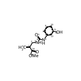 C=C(CNC(=O)Nc1cccc(O)c1)C(=O)OC